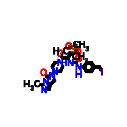 Cc1ncc2n1C(=O)N(N1CCN(C(=O)[C@H](NC(=O)Nc3ccc(CI)cc3)C(C)(C)S(C)(=O)=O)CC1)C2